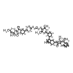 C=C1CCC(N2C(=O)c3ccc(N4CCN(CCOCCN5[C@H](C)CN(c6cc(-c7n[nH]c8ccc(NC(=O)C9=C(C)N(C)c%10nnnn%10C9)cc78)ccn6)C[C@@H]5C)CC4)cc3C2=O)C(=O)N1